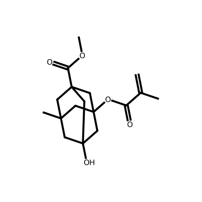 C=C(C)C(=O)OC12CC3(C)CC(O)(C1)CC(C(=O)OC)(C3)C2